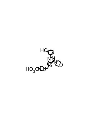 O=C(O)N1CCN(Cc2cc3nc(-c4cccc(O)c4)nc(N4CCOCC4)c3s2)CC1